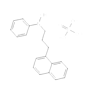 CN(CCCc1cccc2ccccc12)c1ccccc1.O=P(O)(O)O